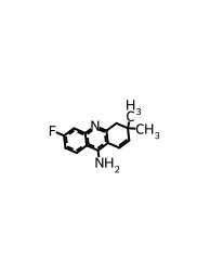 CC1(C)C=Cc2c(nc3cc(F)ccc3c2N)C1